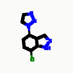 Clc1ccc(-n2ccnn2)c2cn[nH]c12